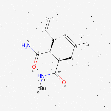 C=CC[C@H](C(N)=O)[C@@H](CC(=C)C)C(=O)NC(C)(C)C